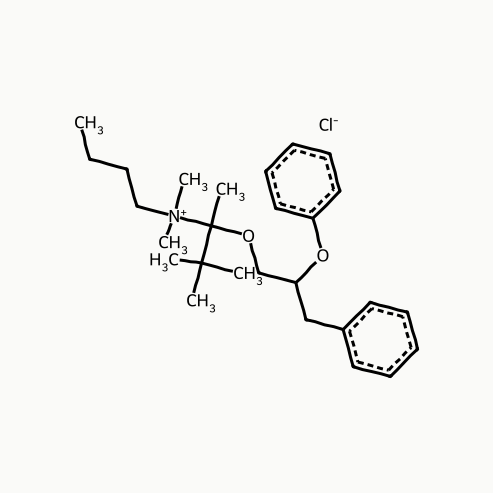 CCCC[N+](C)(C)C(C)(OCC(Cc1ccccc1)Oc1ccccc1)C(C)(C)C.[Cl-]